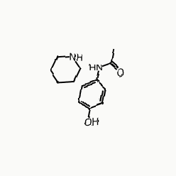 C1CCNCC1.CC(=O)Nc1ccc(O)cc1